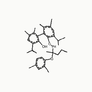 CCCC(C)(Oc1ccc(C)cc1C)POc1c(C(C)C)cc(C)c(C)c1-c1c(C)c(C)cc(C(C)C)c1O